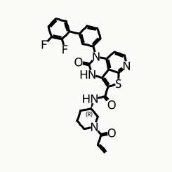 C=CC(=O)N1CCC[C@@H](NC(=O)c2sc3nccc4c3c2NC(=O)N4c2cccc(-c3cccc(F)c3F)c2)C1